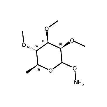 CO[C@@H]1[C@@H](OC)[C@@H](OC)C(ON)O[C@H]1C